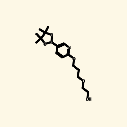 CC1(C)OB(c2ccc(OCCCOCCO)nc2)OC1(C)C